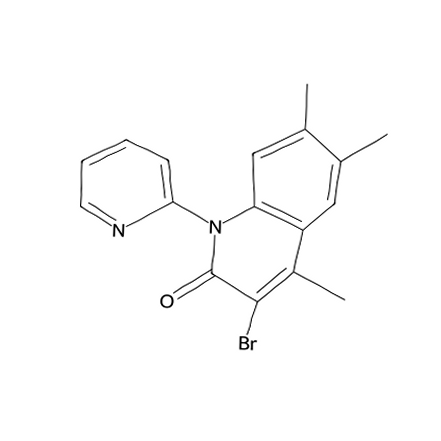 Cc1cc2c(C)c(Br)c(=O)n(-c3ccccn3)c2cc1C